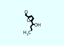 CCCC(O)c1ccc(C=O)o1